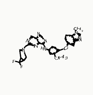 Cc1cc(Nc2ncnc3cnc(N4CC5C(C4)C5(F)F)nc23)ccc1Oc1ccc2c(c1)ncn2C